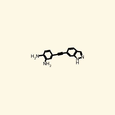 Nc1ccc(C#Cc2ccc3cn[nH]c3c2)cc1N